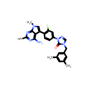 CCCc1nc(N)c2c(-c3ccc(-n4ncn(Cc5cc(C)cc(C)c5)c4=O)cc3F)cn(C)c2n1